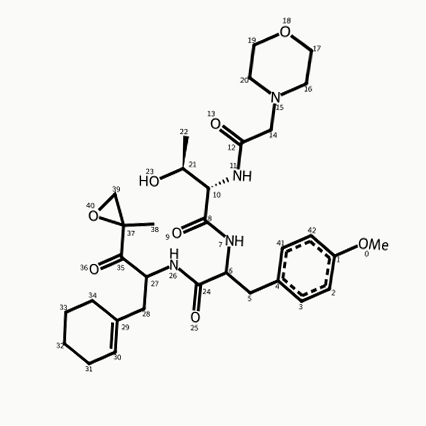 COc1ccc(CC(NC(=O)[C@@H](NC(=O)CN2CCOCC2)[C@H](C)O)C(=O)NC(CC2=CCCCC2)C(=O)C2(C)CO2)cc1